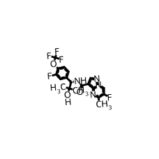 Cc1nc2c(C(=O)N[C@@H](c3ccc(OC(F)(F)F)c(F)c3)C(C)(C)O)cnn2cc1F